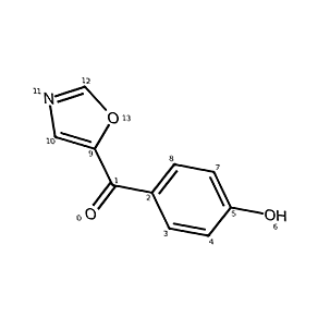 O=C(c1ccc(O)cc1)c1cnco1